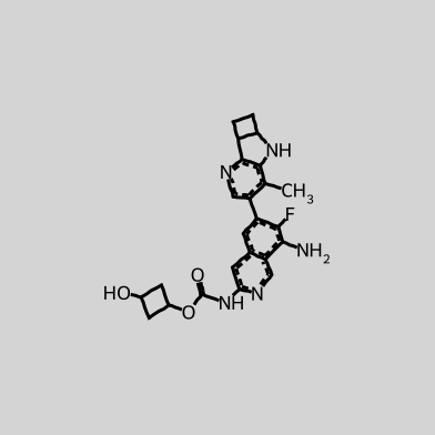 Cc1c(-c2cc3cc(NC(=O)OC4CC(O)C4)ncc3c(N)c2F)cnc2c1NC1CCC21